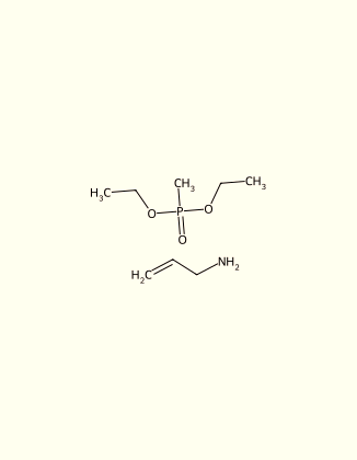 C=CCN.CCOP(C)(=O)OCC